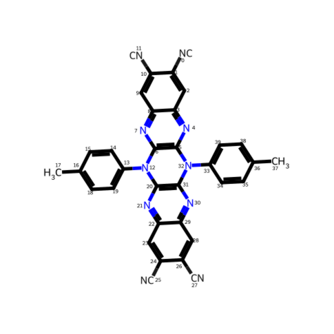 [C-]#[N+]c1cc2nc3c(nc2cc1[N+]#[C-])N(c1ccc(C)cc1)c1nc2cc(C#N)c(C#N)cc2nc1N3c1ccc(C)cc1